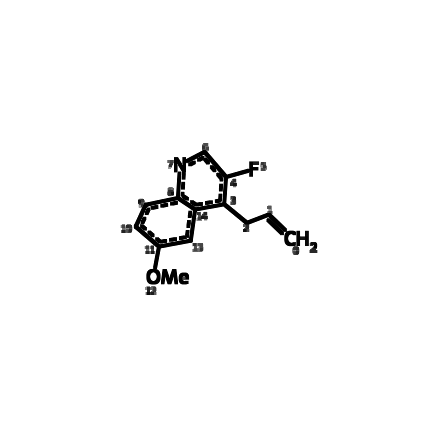 C=CCc1c(F)cnc2ccc(OC)cc12